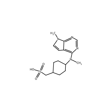 CN(c1ncnc2c1ccn2C)C1CCC(CS(=O)(=O)O)CC1